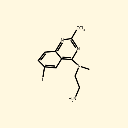 CN(CCN)c1nc(C(Cl)(Cl)Cl)nc2ccc(I)cc12